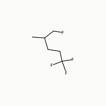 C[C](CF)CCC(F)(F)F